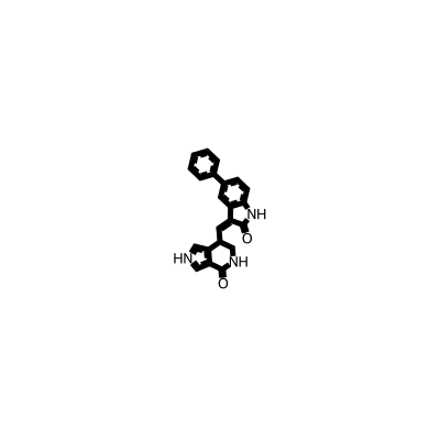 O=C1Nc2ccc(-c3ccccc3)cc2C1=CC1CNC(=O)c2c[nH]cc21